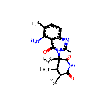 Bc1ccc2nc(C)n(C3(B)C(=O)NC(=O)C(B)C3B)c(=O)c2c1N